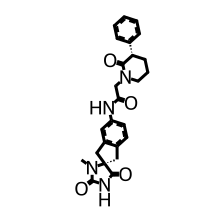 CN1C(=O)NC(=O)[C@@]12Cc1ccc(NC(=O)CN3CCC[C@@H](c4ccccc4)C3=O)cc1C2